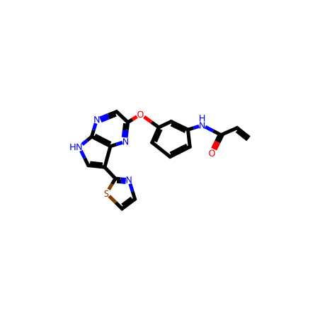 C=CC(=O)Nc1cccc(Oc2cnc3[nH]cc(-c4nccs4)c3n2)c1